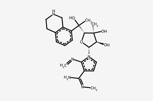 C=Nc1c(/C(N)=N\C)ccn1[C@@H]1O[C@H](C(C)(O)c2cccc3c2CNCC3)[C@@](C)(O)[C@H]1O